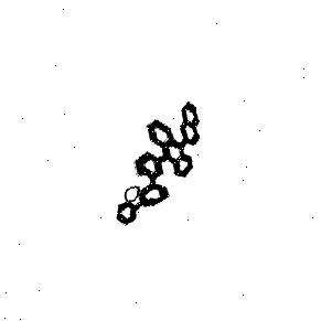 c1cc(-c2c3ccccc3c(-c3ccc4ccccc4c3)c3ccccc23)cc(-c2cccc3c2oc2ccccc23)c1